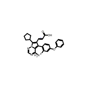 Nc1ncnn2c(C3CCCC3)c(/C=C/C(=O)O)c(-c3ccc(Oc4ccccc4)cc3F)c12